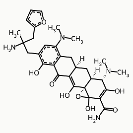 CN(C)c1cc(CC(C)(N)Cc2ccco2)c(O)c2c1C[C@H]1C[C@H]3[C@H](N(C)C)C(O)=C(C(N)=O)C4(O)O[C@]34C(O)=C1C2=O